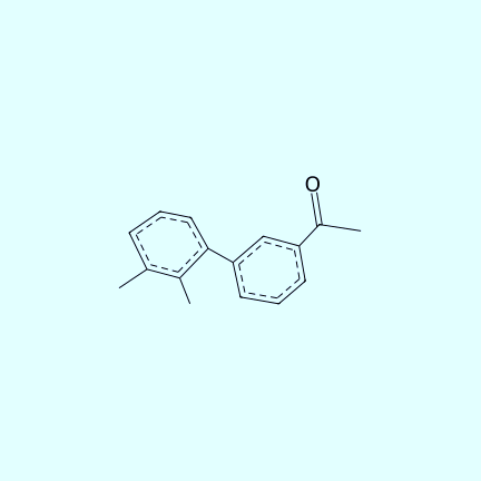 CC(=O)c1cccc(-c2cccc(C)c2C)c1